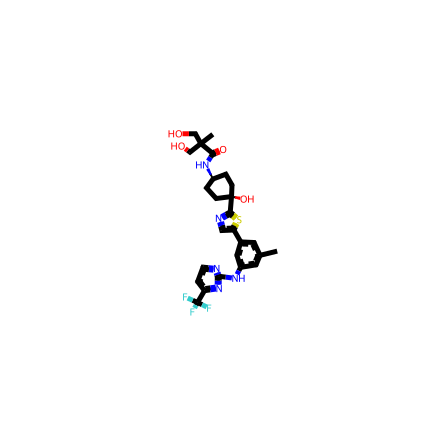 Cc1cc(Nc2nccc(C(F)(F)F)n2)cc(-c2cnc([C@]3(O)CC[C@@H](NC(=O)C(C)(CO)CO)CC3)s2)c1